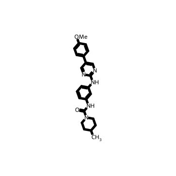 COc1ccc(-c2cnc(Nc3cccc(NC(=O)N4CCC(C)CC4)c3)nc2)cc1